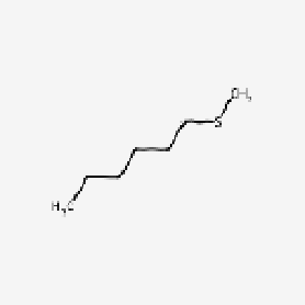 CCCCC[CH]SC